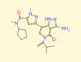 C=C(C(C)C)n1cc(-c2cc(C(=O)N(C)C3CCCC3)n(C)n2)c2[nH]nc(N)c2c1=O